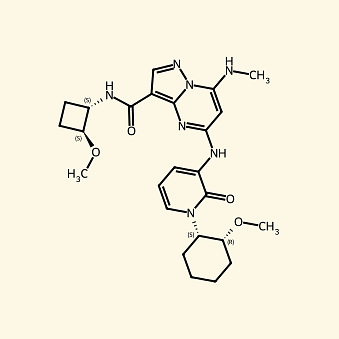 CNc1cc(Nc2cccn([C@H]3CCCC[C@H]3OC)c2=O)nc2c(C(=O)N[C@H]3CC[C@@H]3OC)cnn12